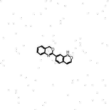 C1=Cc2ccc(C3=Nc4ccccc4CO3)cc2NO1